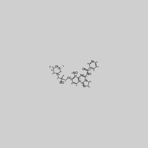 C[C@@H]1CN(CC(C)(COc2ccc3c(c2N=O)N=C(NC(=O)c2cccnc2)N2CCN=C32)N=O)C[C@H](C)O1